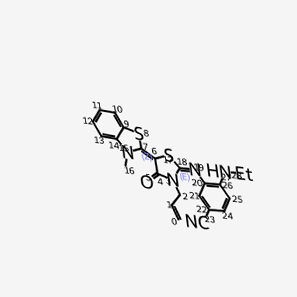 C=CCN1C(=O)/C(=C2/Sc3ccccc3N2C)S/C1=N/c1cc(C#N)ccc1NCC